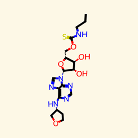 CCCNC(=S)OC[C@H]1O[C@@H](n2cnc3c(N[C@@H]4CCOC4)ncnc32)[C@H](O)[C@@H]1O